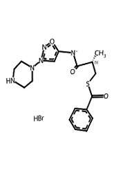 Br.C[C@H](CSC(=O)c1ccccc1)C(=O)[N-]c1c[n+](N2CCNCC2)no1